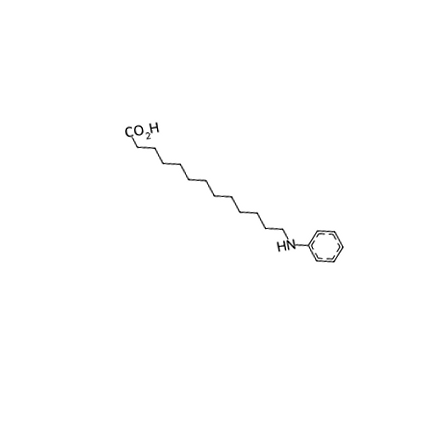 O=C(O)CCCCCCCCCCCCNc1ccccc1